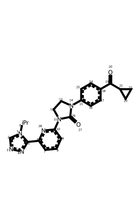 CC(C)n1cnnc1-c1cccc(N2CCN(c3ccc(C(=O)C4CC4)cc3)C2=O)n1